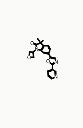 CC1(C)C(=O)N(C2COC2)c2cc(-c3cnc(-c4cccnc4)o3)ccc21